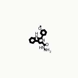 COc1cccc(-c2nc(C(=O)NN)cc3c2[nH]c2ccccc23)c1